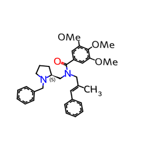 COc1cc(C(=O)N(CC(C)=Cc2ccccc2)C[C@@H]2CCCN2Cc2ccccc2)cc(OC)c1OC